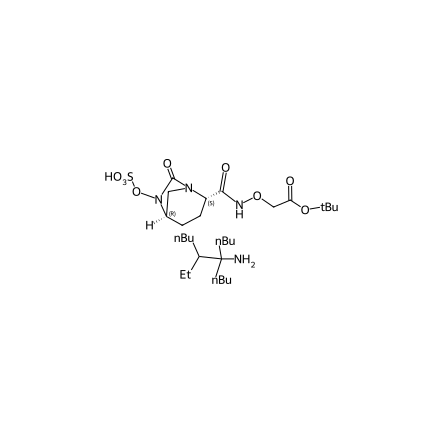 CC(C)(C)OC(=O)CONC(=O)[C@@H]1CC[C@@H]2CN1C(=O)N2OS(=O)(=O)O.CCCCC(CC)C(N)(CCCC)CCCC